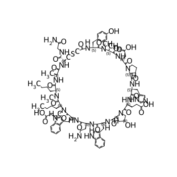 CCCC[C@H]1C(=O)N(C)[C@@H](CCCC)C(=O)N[C@@H](C)C(=O)N[C@H](C(=O)NCC(N)=O)CSCC(=O)N[C@@H](Cc2ccc(O)cc2)C(=O)N(C)[C@@H](C)C(=O)N[C@@H](CC(=O)O)C(=O)N2CCC[C@H]2C(=O)N[C@@H](Cc2cnc[nH]2)C(=O)N[C@@H](CCC(=O)O)C(=O)N2C[C@H](O)C[C@H]2C(=O)N[C@@H](Cc2c[nH]c3ccccc23)C(=O)N[C@@H](CCN)C(=O)N[C@@H](Cc2cn(CC(=O)O)c3ccccc23)C(=O)N1C